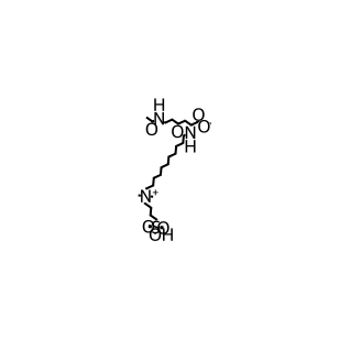 COC(=O)C(CCCCNC(C)=O)NC(=O)CCCCCCCCCC[N+](C)(C)CCCCS(=O)(=O)O